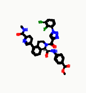 CNC(=O)c1ccc(-c2cccc3c2CCN(C(=O)c2cn(-c4cccc(Cl)c4F)nn2)[C@@H]3C(=O)Nc2ccc(C(=O)OC)cc2)cn1